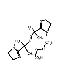 CC(C)(N=NC(C)(C)C1=NCCN1)C1=NCCN1.O=S(=O)(O)OOS(=O)(=O)O